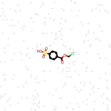 O=C(OCCl)c1ccc(S(=O)(=O)O)cc1